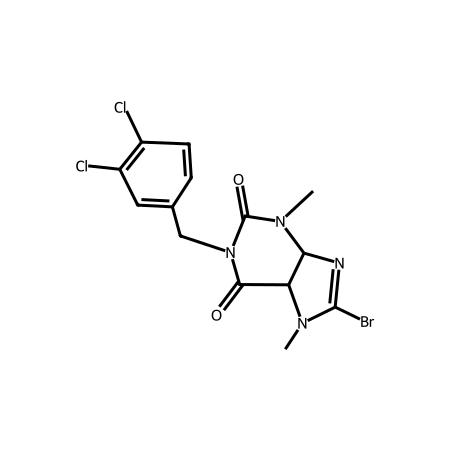 CN1C(=O)N(Cc2ccc(Cl)c(Cl)c2)C(=O)C2C1N=C(Br)N2C